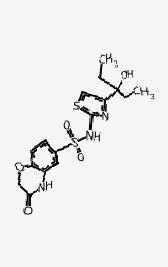 CCC(O)(CC)c1csc(NS(=O)(=O)c2ccc3c(c2)NC(=O)CO3)n1